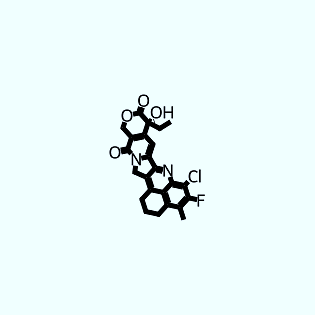 CC[C@@]1(O)C(=O)OCc2c1cc1n(c2=O)Cc2c-1nc1c(Cl)c(F)c(C)c3c1c2CCC3